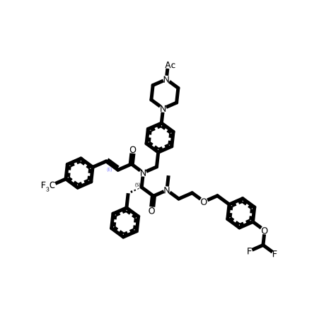 CC(=O)N1CCN(c2ccc(CN(C(=O)/C=C/c3ccc(C(F)(F)F)cc3)[C@@H](Cc3ccccc3)C(=O)N(C)CCOCc3ccc(OC(F)F)cc3)cc2)CC1